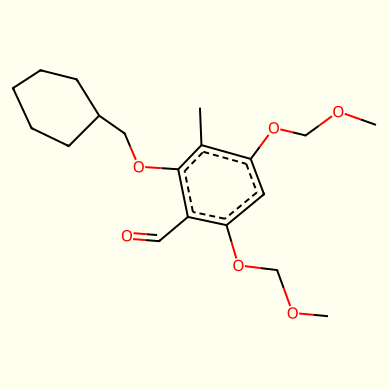 COCOc1cc(OCOC)c(C=O)c(OCC2CCCCC2)c1C